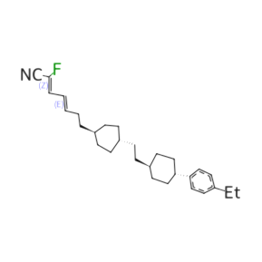 CCc1ccc([C@H]2CC[C@H](CC[C@H]3CC[C@H](CC/C=C/C=C(\F)C#N)CC3)CC2)cc1